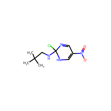 CC(C)(C)CNC1(Cl)N=CC([N+](=O)[O-])=CN1